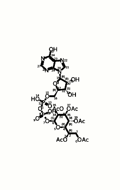 CC(=O)OC[C@@H](OC(C)=O)[C@H]1O[C@@H](OP(=O)(O)OP(=O)(O)OC[C@H]2O[C@@H](n3cnc4c(O)ncnc43)[C@H](O)[C@@H]2O)[C@@H](OC(C)=O)[C@@H](OC(C)=O)[C@@H]1OC(C)=O